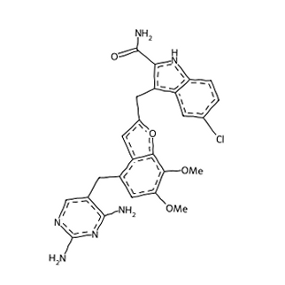 COc1cc(Cc2cnc(N)nc2N)c2cc(Cc3c(C(N)=O)[nH]c4ccc(Cl)cc34)oc2c1OC